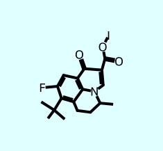 CC1CCc2c(C(C)(C)C)c(F)cc3c(=O)c(C(=O)OI)cn1c23